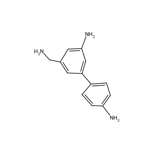 NCc1cc(N)cc(-c2ccc(N)cc2)c1